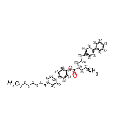 CCCCCCCC[C@H]1CC[C@H](c2ccc(OC(=O)C(CCC)CCCc3ccc(-c4ccccc4)cc3)cc2)CC1